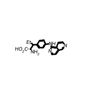 CCC(c1ccc(Nc2nccc3cnccc23)cc1)[C@H](N)C(=O)O